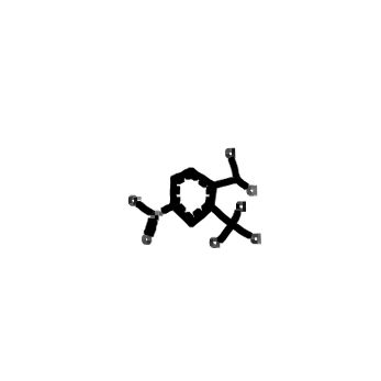 O=[N+]([O-])c1ccc(C(Cl)Cl)c(C(Cl)(Cl)Cl)c1